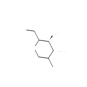 CC1[C@H](C)OC(CO)[C@@H](O)[C@@H]1O